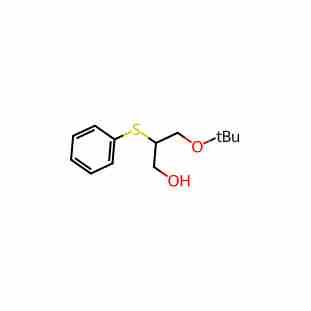 CC(C)(C)OCC(CO)Sc1ccccc1